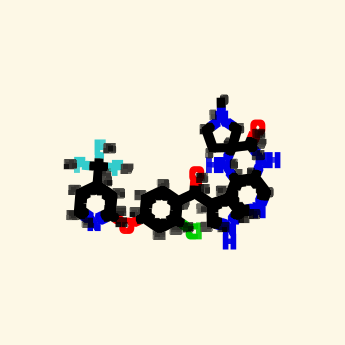 CN1CCC2(C1)Nc1c(cnc3[nH]cc(C(=O)c4ccc(Oc5cc(C(F)(F)F)ccn5)cc4Cl)c13)NC2=O